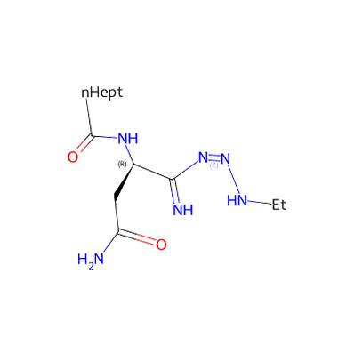 CCCCCCCC(=O)N[C@H](CC(N)=O)C(=N)/N=N\NCC